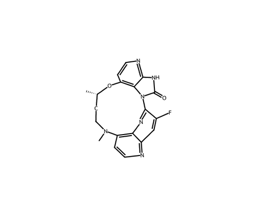 C[C@H]1CCN(C)c2ccnc3cc(F)c(nc23)-n2c(=O)[nH]c3nccc(c32)O1